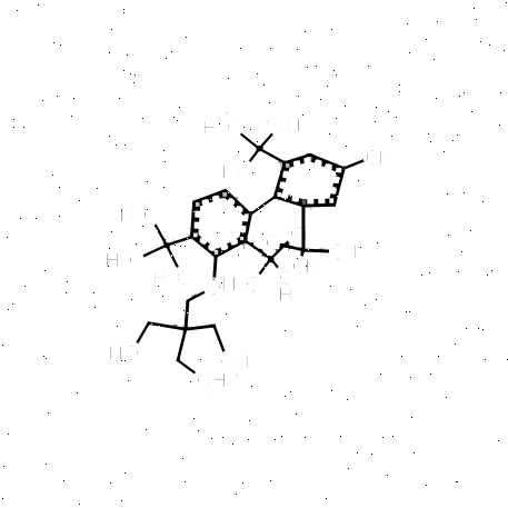 Cc1cc(C(C)(C)C)c(-c2ccc(C(C)(C)C)c(OCC(CO)(CO)CO)c2C(C)(C)C)c(C(C)(C)C)c1